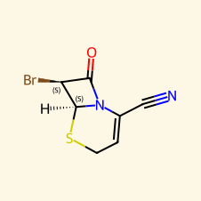 N#CC1=CCS[C@H]2[C@@H](Br)C(=O)N12